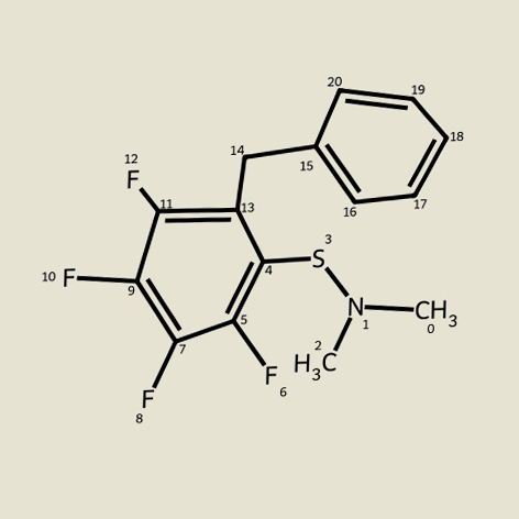 CN(C)Sc1c(F)c(F)c(F)c(F)c1Cc1ccccc1